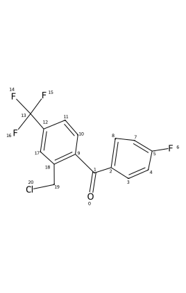 O=C(c1ccc(F)cc1)c1ccc(C(F)(F)F)cc1CCl